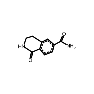 NC(=O)c1ccc2c(c1)CCNC2=O